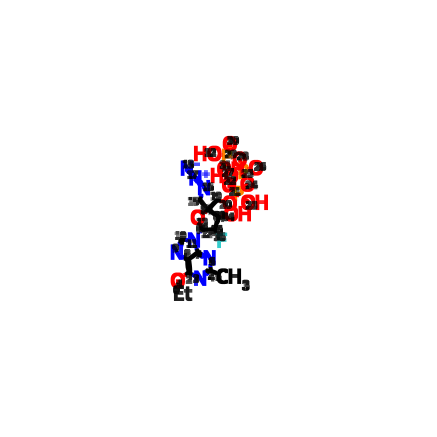 CCOc1nc(C)nc2c1ncn2[C@@H]1O[C@](CN=[N+]=[N-])(COP(=O)(O)OP(=O)(O)OP(=O)(O)O)[C@@H](O)[C@H]1F